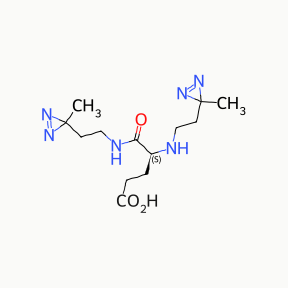 CC1(CCNC(=O)[C@H](CCC(=O)O)NCCC2(C)N=N2)N=N1